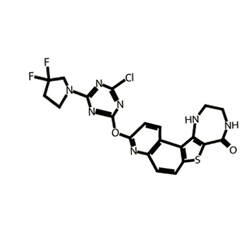 O=C1NCCNc2c1sc1ccc3nc(Oc4nc(Cl)nc(N5CCC(F)(F)C5)n4)ccc3c21